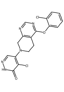 O=c1[nH]ncc(N2CCc3c(ncnc3Oc3ccccc3Cl)C2)c1Cl